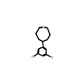 Clc1[c]c(Cl)cc(C2CCCCCCC2)c1